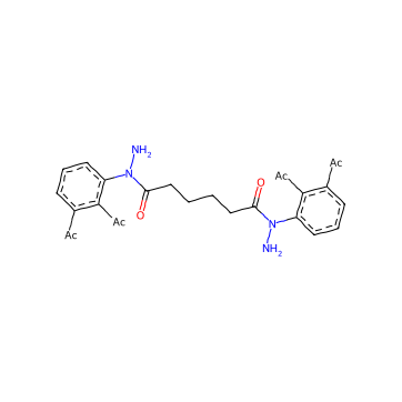 CC(=O)c1cccc(N(N)C(=O)CCCCC(=O)N(N)c2cccc(C(C)=O)c2C(C)=O)c1C(C)=O